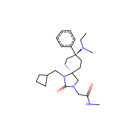 CCN(C)[C@]1(c2ccccc2)CC[C@]2(CC1)CN(CC(=O)NC)C(=O)N2CC1CCC1